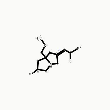 COCC12C/C(=C/C(F)F)CN1CC(F)C2